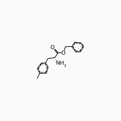 Cc1ccc(C[C@@H](N)C(=O)OCc2ccccc2)cc1